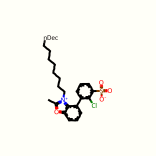 CCCCCCCCCCCCCCCCCC[n+]1c(C)oc2cccc(-c3cccc(S(=O)(=O)[O-])c3Cl)c21